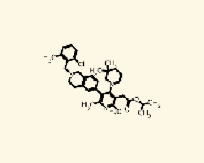 Cc1cccc(Cl)c1CN1CCc2cc(-c3c(C)nc(C)c(CC(=O)OC(C)C)c3N3CCCC(C)(C)C3)ccc2C1